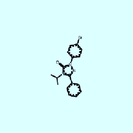 CC(C)n1c(-c2ccccc2)nn(-c2ccc(Br)cc2)c1=O